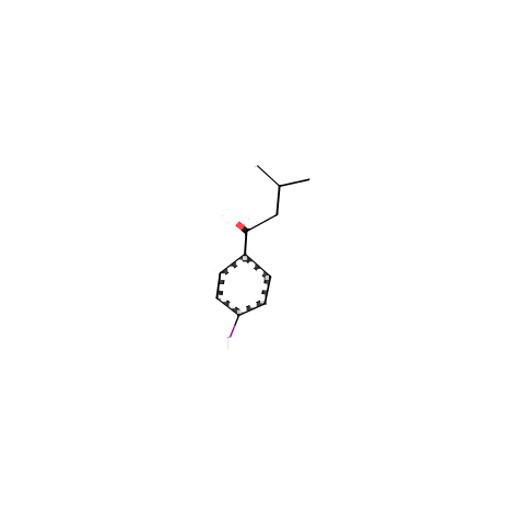 CC(C)CC(=O)c1ccc(I)cc1